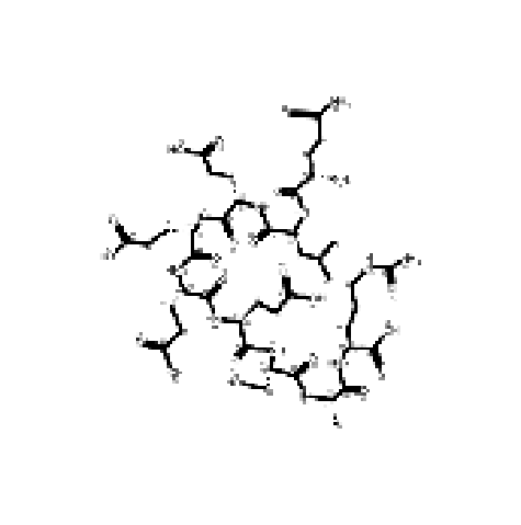 CC(C)C[C@H](NC(=O)[C@@H](N)CCC(N)=O)C(=O)N[C@@H](CCC(=O)O)C(=O)N[C@@H](CCC(=O)O)C(=O)N[C@@H](CCC(=O)O)C(=O)N[C@@H](CCC(=O)O)C(=O)N[C@@H](CO)C(=O)N[C@@H](C)C(=O)N[C@@H](CCCNC(=N)N)C(=O)O